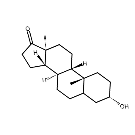 C[C@]12CC[C@H]3[C@@H](CCC4C[C@@H](O)CC[C@]43C)[C@@H]1CCC2=O